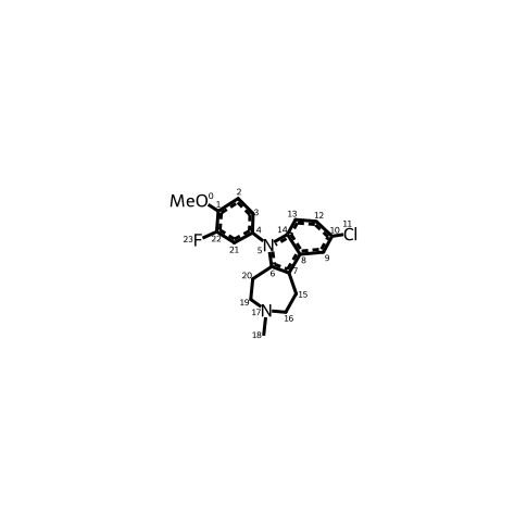 COc1ccc(-n2c3c(c4cc(Cl)ccc42)CCN(C)CC3)cc1F